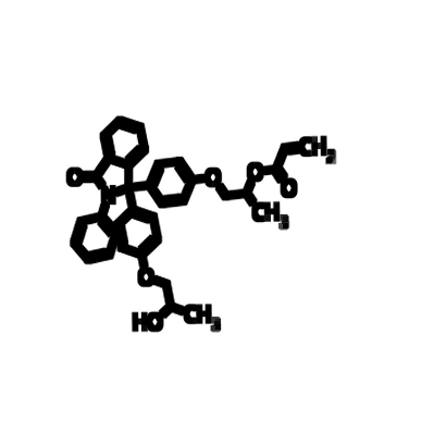 C=CC(=O)OC(C)COc1ccc(C2(c3ccc(OCC(C)O)cc3)c3ccccc3C(=O)N2c2ccccc2)cc1